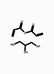 C=CC(=O)OC(=O)C=C.OCC(O)CO